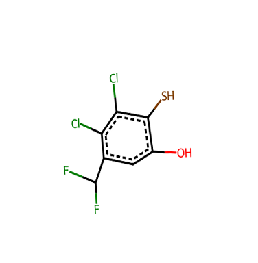 Oc1cc(C(F)F)c(Cl)c(Cl)c1S